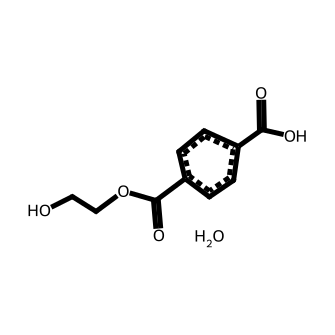 O.O=C(O)c1ccc(C(=O)OCCO)cc1